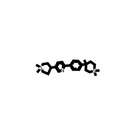 CC1(c2ccc(-c3ccc(C4CCS(C)(C)CC4)cn3)cc2)CCS(C)(C)CC1